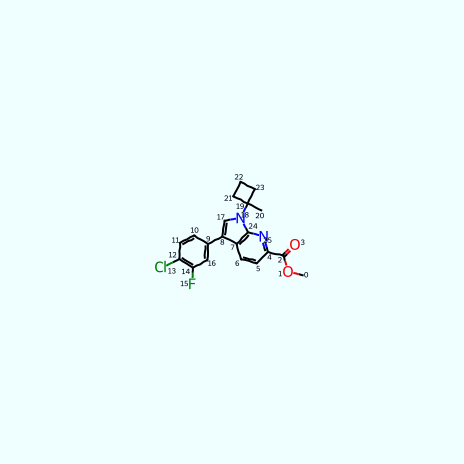 COC(=O)c1ccc2c(-c3ccc(Cl)c(F)c3)cn(C3(C)CCC3)c2n1